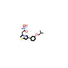 CC(C)COc1cccc(-c2cc3scc(CC(=O)[N+](C)(C)O)n3c2)c1